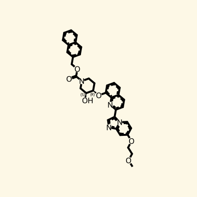 COCCOc1ccn2c(-c3ccc4cccc(O[C@@H]5CCN(C(=O)OCc6ccc7ccccc7c6)C[C@@H]5O)c4n3)cnc2c1